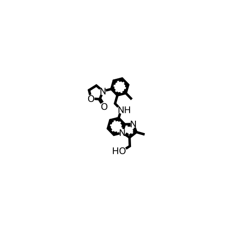 Cc1cccc(N2CCOC2=O)c1CNc1cccn2c(CO)c(C)nc12